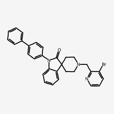 O=C1N(c2ccc(-c3ccccc3)cc2)c2ccccc2C12CCN(Cc1ncccc1Br)CC2